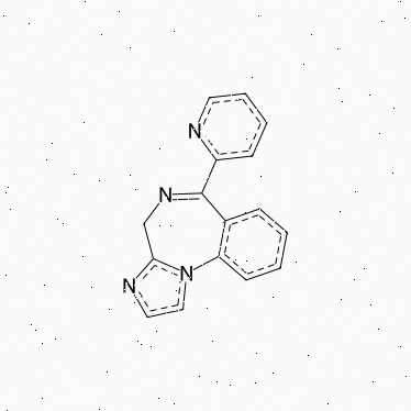 c1ccc(C2=NCc3nccn3-c3ccccc32)nc1